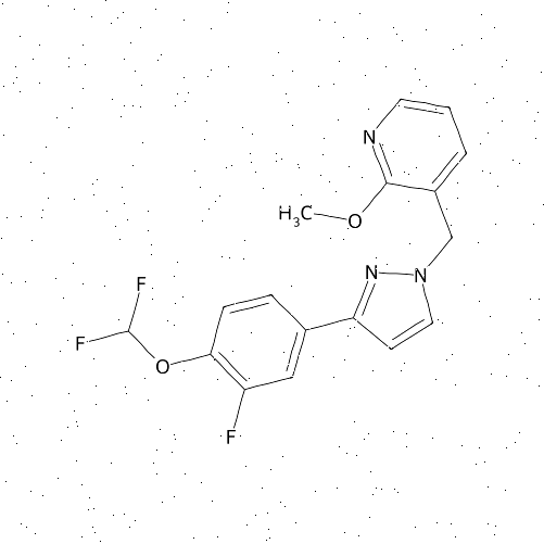 COc1ncccc1Cn1ccc(-c2ccc(OC(F)F)c(F)c2)n1